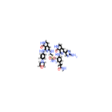 CNC(=O)C(C)(C)c1ccc(Nc2nc(-c3cnc(N)nc3)cc3cc[nH]c(=O)c23)cc1.NS(=O)(=O)CCNc1cc2cc[nH]c(=O)c2c(Nc2ccc(N3CCOCC3)cc2)n1